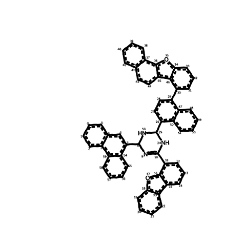 c1ccc2c(c1)cc(C1N=C(c3cccc4c3oc3ccccc34)NC(c3ccc(-c4cccc5oc6c7ccccc7ccc6c45)c4ccccc34)N1)c1ccccc12